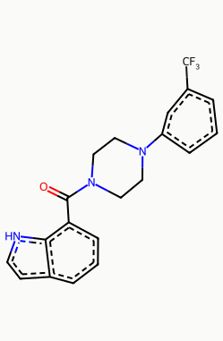 O=C(c1cccc2cc[nH]c12)N1CCN(c2cccc(C(F)(F)F)c2)CC1